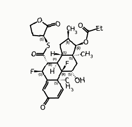 CCC(=O)O[C@@H]1[C@H](C)C[C@H]2[C@@H]3[C@@H](C(=O)S[C@H]4CCOC4=O)[C@H](F)C4=CC(=O)C=C[C@]4(C)[C@@]3(F)[C@@H](O)C[C@]12C